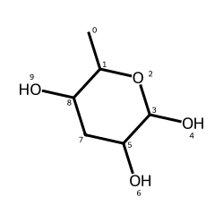 CC1OC(O)C(O)CC1O